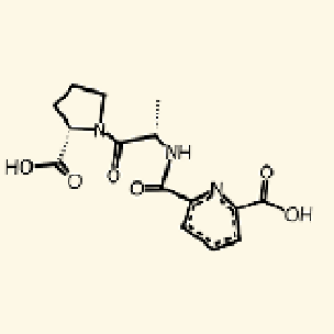 C[C@H](NC(=O)c1cccc(C(=O)O)n1)C(=O)N1CCC[C@H]1C(=O)O